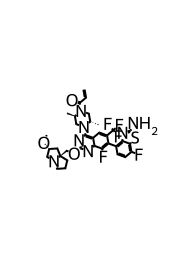 C=CC(=O)N1C[C@H](C)N(c2nc(OC[C@@]34CCCN3C[C@H](OC)C4)nc3c(F)c(-c4ccc(F)c5sc(N)nc45)c(C(F)(F)F)cc23)C[C@H]1C